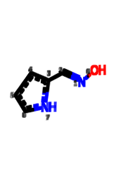 ON=Cc1ccc[nH]1